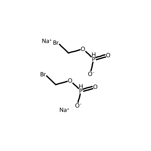 O=[PH]([O-])OCBr.O=[PH]([O-])OCBr.[Na+].[Na+]